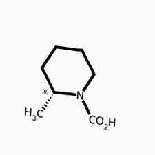 C[C@@H]1CCCCN1C(=O)O